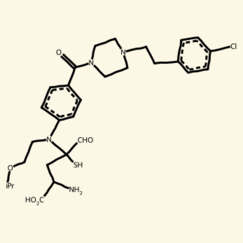 CC(C)OCCN(c1ccc(C(=O)N2CCN(CCc3ccc(Cl)cc3)CC2)cc1)C(S)(C=O)CC(N)C(=O)O